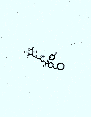 CC(=O)NC(CSC[C@H](O)CNC(=O)C1(Nc2ccc(F)cc2)CCN(CC2CCCCCCC2)CC1)C(=O)O